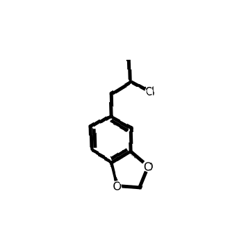 CC(Cl)Cc1ccc2c(c1)OCO2